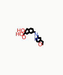 O=C(O)c1cc2cc(CNCc3ccc4c(c3)CCO4)ccc2cc1O